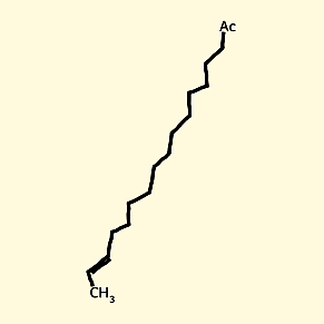 C/C=C/CCCCCCCCCCCCC(C)=O